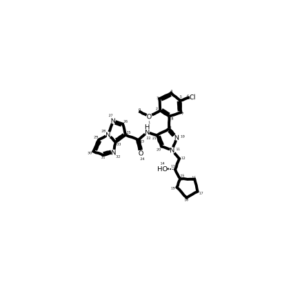 COc1ccc(Cl)cc1-c1nn(C[C@@H](O)C2CCCC2)cc1NC(=O)c1cnn2cccnc12